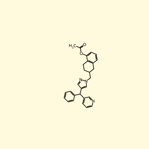 CC(=O)Oc1cccc2c1CCC(Cn1cc(C(c3ccccc3)c3cccnc3)cn1)C2